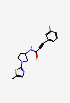 Cc1cnc(N2CCC(NC(=O)C#Cc3cccc(F)c3)C2)s1